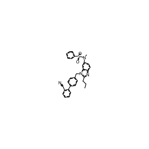 CCCc1nc2ccc(N(C)S(=O)(=O)c3ccccc3)cc2n1Cc1ccc(-c2ccccc2C#N)cc1